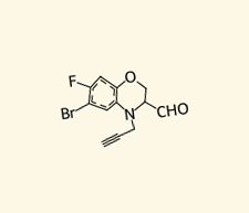 C#CCN1c2cc(Br)c(F)cc2OCC1C=O